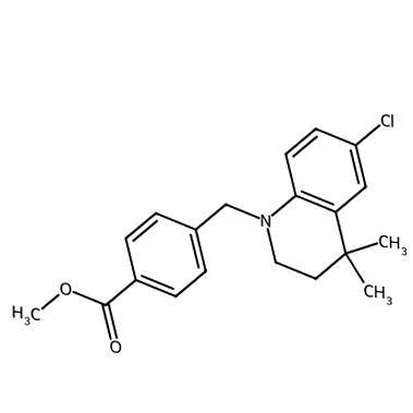 COC(=O)c1ccc(CN2CCC(C)(C)c3cc(Cl)ccc32)cc1